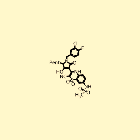 CCCC(C)C1C(O)=C(C2=C(C#N)S(=O)(=O)c3cc(NS(C)(=O)=O)ccc3N2)C(=O)N1Cc1ccc(F)c(Cl)c1